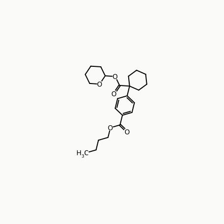 CCCCOC(=O)c1ccc(C2(C(=O)OC3CCCCO3)CCCCC2)cc1